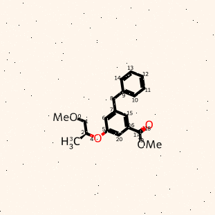 COC[C@H](C)Oc1cc(Cc2ccccc2)cc(C(=O)OC)c1